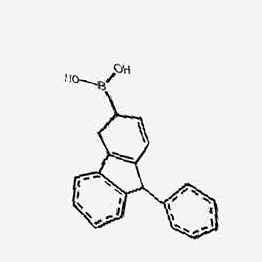 OB(O)C1C=CC2=C(C1)c1ccccc1C2c1ccccc1